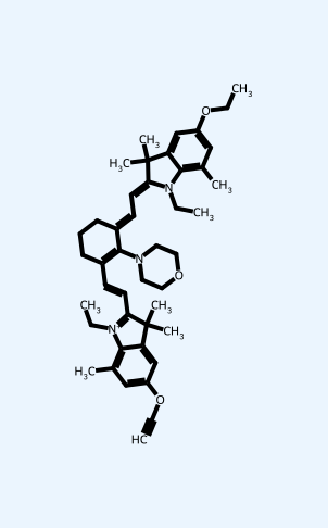 C#COc1cc(C)c2c(c1)C(C)(C)C(/C=C/C1=C(N3CCOCC3)C(=C/C=C3\N(CC)c4c(C)cc(OCC)cc4C3(C)C)/CCC1)=[N+]2CC